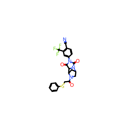 N#Cc1ccc(N2C(=O)C3C4CC(CN4C(=O)CSc4ccccc4)N3C2=O)cc1C(F)(F)F